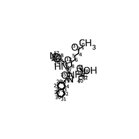 CCC(=O)CCCCC[C@H](NC(=O)C12CCN(CC1)CC2)c1nnc(-c2ccc3ccccc3c2)o1.O=C(O)C(F)(F)F